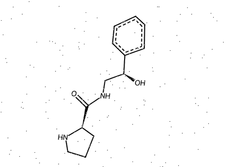 O=C(NC[C@H](O)c1ccccc1)[C@H]1CCCN1